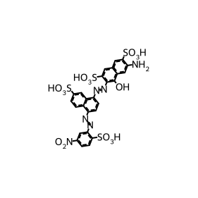 Nc1cc2c(O)c(/N=N/c3ccc(/N=N/c4cc([N+](=O)[O-])ccc4S(=O)(=O)O)c4ccc(S(=O)(=O)O)cc34)c(S(=O)(=O)O)cc2cc1S(=O)(=O)O